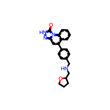 O=c1[nH]nc2cc(-c3ccc(CNCC4CCCO4)cc3)c3ccccc3n12